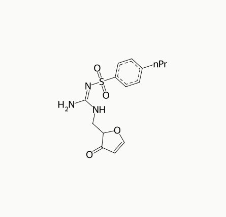 CCCc1ccc(S(=O)(=O)N=C(N)NCC2OC=CC2=O)cc1